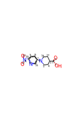 O=C(O)C1CCN(c2ccc([N+](=O)[O-])nc2)CC1